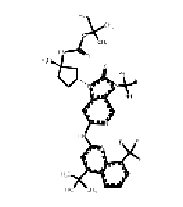 [2H]C([2H])([2H])n1c(=O)n([C@@H]2CC[C@](C)(NC(=O)OC(C)(C)C)C2)c2cc(Nc3cc(C(C)(C)O)c4cccc(C(F)(F)F)c4n3)ncc21